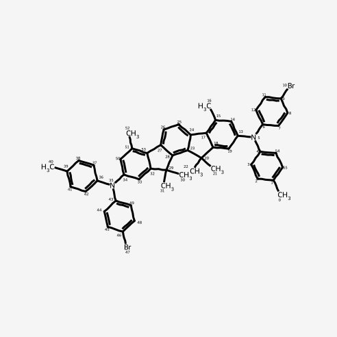 Cc1ccc(N(c2ccc(Br)cc2)c2cc(C)c3c(c2)C(C)(C)c2c-3ccc3c2C(C)(C)c2cc(N(c4ccc(C)cc4)c4ccc(Br)cc4)cc(C)c2-3)cc1